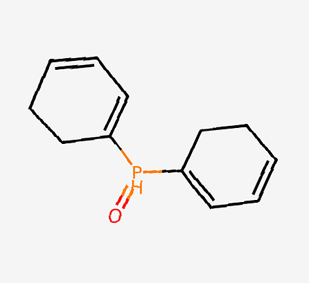 O=[PH](C1=CC=CCC1)C1=CC=CCC1